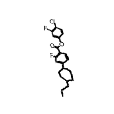 CCCC1CCC(c2ccc(C(=O)Oc3ccc(Cl)c(F)c3)c(F)c2)CC1